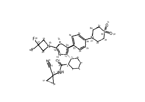 N#CC1(NC(=O)[C@@H]2CCCC[C@H]2c2nc(N3CC(F)(F)C3)sc2-c2ccc(N3CCS(=O)(=O)CC3)cc2)CC1